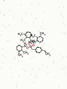 C=Cc1ccc(C[Si](O[SiH2]c2cccc(C)c2C)(O[SiH2]c2cccc(C)c2C)O[SiH2]c2cccc(C)c2C)cc1